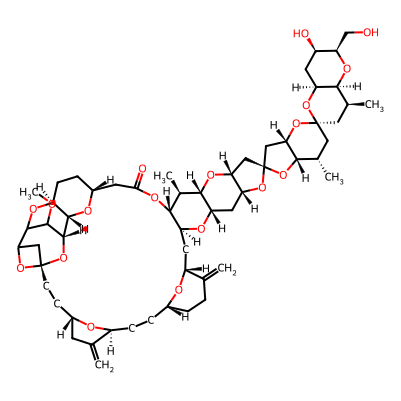 C=C1C[C@@H]2CC[C@]34CC(O3)C3O[C@H]5CC[C@H](CC(=O)O[C@@H]6[C@@H](C)[C@@H]7O[C@@H]8C[C@]9(C[C@@H]%10O[C@]%11(C[C@H](C)[C@@H]%12O[C@H](CO)[C@H](O)C[C@@H]%12O%11)C[C@H](C)[C@@H]%10O9)O[C@@H]8C[C@@H]7O[C@H]6C[C@H]6O[C@H](CCC6=C)CC[C@@H]1O2)O[C@@H]5[C@H](O4)C3OC